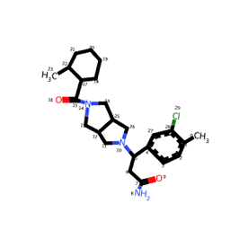 Cc1ccc(C(CC(N)=O)N2CC3CN(C(=O)C4CCCCC4C)CC3C2)cc1Cl